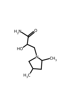 CC1CC(C)N(CC(O)C(N)=O)C1